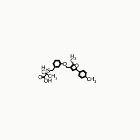 Cc1ccc(-c2cc(COc3cccc(CSC(C)(C)C(=O)O)c3)c(C)o2)cc1